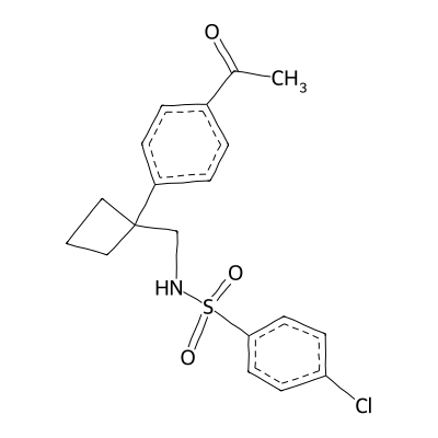 CC(=O)c1ccc(C2(CNS(=O)(=O)c3ccc(Cl)cc3)CCC2)cc1